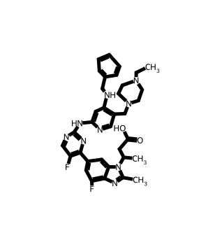 CCN1CCN(Cc2cnc(Nc3ncc(F)c(-c4cc(F)c5nc(C)n(C(C)CC(=O)O)c5c4)n3)cc2NCc2ccccc2)CC1